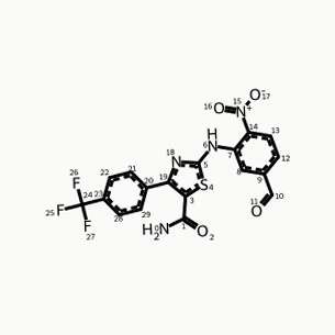 NC(=O)c1sc(Nc2cc(C=O)ccc2[N+](=O)[O-])nc1-c1ccc(C(F)(F)F)cc1